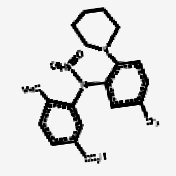 COc1ccc(C(=O)O)cc1N(c1cc(C(F)(F)F)ccc1N1CCCCC1)[SH](=O)=O